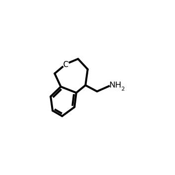 NCC1CCCCc2ccccc21